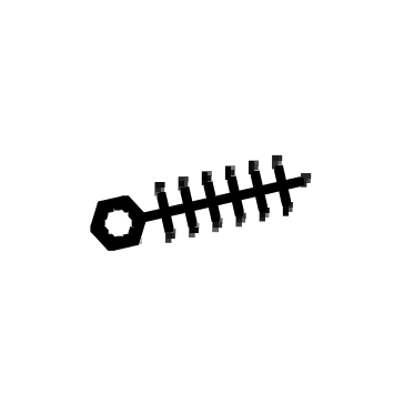 FC(F)(F)C(F)(F)C(F)(F)C(F)(F)C(F)(F)C(F)(F)c1[c]cccc1